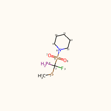 CSC(F)(P)S(=O)(=O)N1CCCCC1